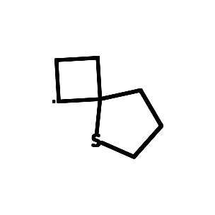 [CH]1CCC12CCCS2